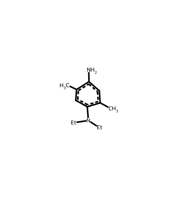 CCN(CC)c1cc(C)c(N)cc1C